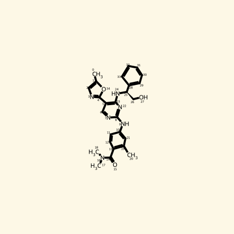 Cc1cnc(-c2cnc(Nc3ccc(C(=O)N(C)C)c(C)c3)nc2N[C@H](CO)c2ccccc2)o1